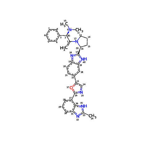 C=C([C@@H](c1ccccc1)N(C)C)N1CCC[C@H]1c1nc2ccc(-c3cnc(-c4cccc5nc(C)[nH]c45)o3)cc2[nH]1